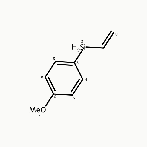 C=C[SiH2]c1ccc(OC)cc1